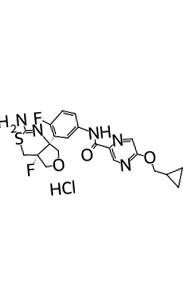 Cl.NC1=N[C@@]2(c3cc(NC(=O)c4cnc(OCC5CC5)cn4)ccc3F)COC[C@@]2(F)CS1